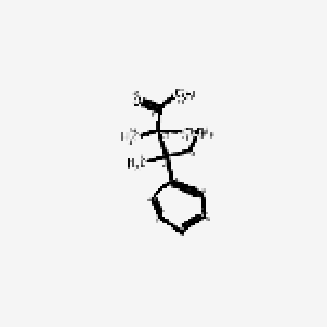 CCC(C)(c1ccccc1)C(C)(C)C(=O)O